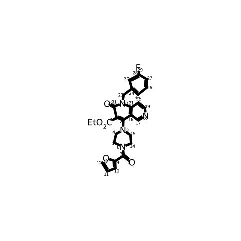 CCOC(=O)c1c(N2CCN(C(=O)c3ccco3)CC2)c2cnccc2n(Cc2cccc(F)c2)c1=O